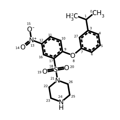 CC(C)c1cccc(Oc2ccc([N+](=O)[O-])cc2S(=O)(=O)N2CCNCC2)c1